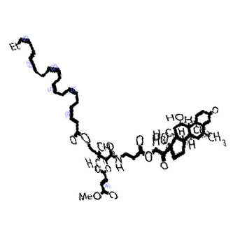 CC/C=C\C/C=C\C/C=C\C/C=C\C/C=C\C/C=C\CC(=O)OCC(C)(C)[C@@H](OC(=O)/C=C/C(=O)OC)C(=O)NCCC(=O)OCC(=O)[C@@]1(O)CC[C@H]2[C@@H]3C[C@H](C)C4=CC(=O)C=C[C@]4(C)[C@H]3[C@@H](O)C[C@@]21C